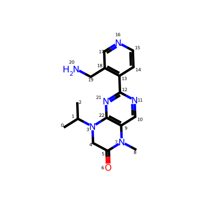 CC(C)N1CC(=O)N(C)c2cnc(-c3ccncc3CN)nc21